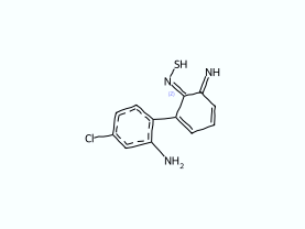 N=C1C=CC=C(c2ccc(Cl)cc2N)/C1=N/S